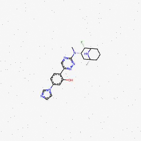 CN(c1ncc(-c2ccc(-n3ccnc3)cc2O)nn1)[C@H]1C[C@]2(C)CCCC(N2)[C@H]1F